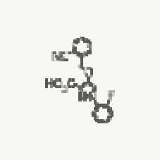 N#Cc1ccccc1COc1cn(-c2ccccc2F)nc1C(=O)O